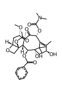 CO[C@H]1C[C@H]2OC[C@@]2(OC(C)=O)[C@H]2[C@H](OC(=O)c3ccccc3)[C@]3(O)C[C@H](O)C(C)=C([C@@H](OC(=O)N(C)C)C(=O)[C@]12C)C3(C)C